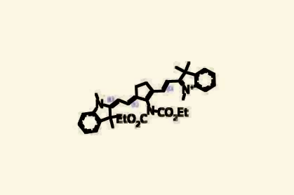 CCOC(=O)N(C(=O)OCC)C1=C(/C=C/C2=[N+](C)c3ccccc3C2(C)C)CC/C1=C\C=C1\N(C)c2ccccc2C1(C)C